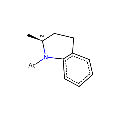 CC(=O)N1c2ccccc2CC[C@@H]1C